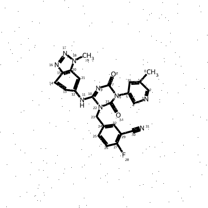 Cc1cncc(-n2c(=O)nc(Nc3ccc4nnn(C)c4c3)n(Cc3ccc(F)c(C#N)c3)c2=O)c1